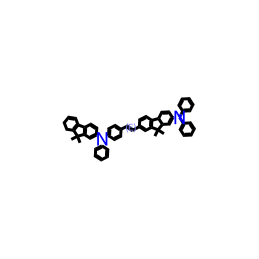 CC1(C)C2=C(C=CCC2)c2ccc(N(c3ccccc3)c3ccc(/C=C/c4ccc5c(c4)C(C)(C)C4C=C(N(c6ccccc6)c6ccccc6)C=CC54)cc3)cc21